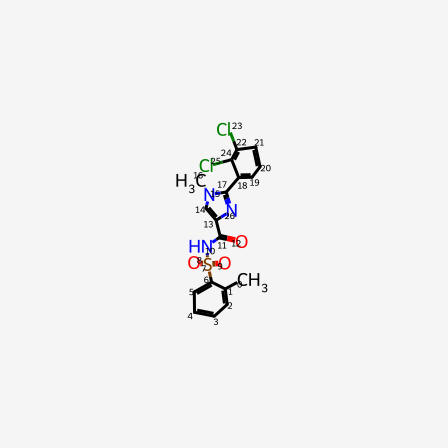 Cc1ccccc1S(=O)(=O)NC(=O)c1cn(C)c(-c2cccc(Cl)c2Cl)n1